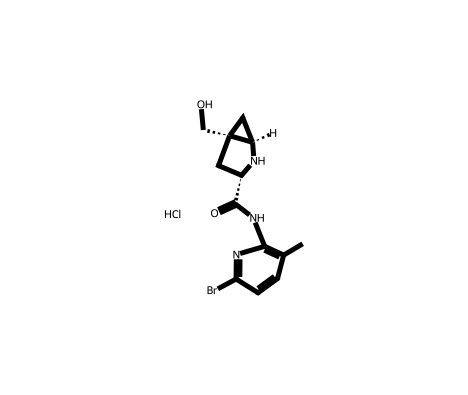 Cc1ccc(Br)nc1NC(=O)[C@@H]1C[C@@]2(CO)C[C@H]2N1.Cl